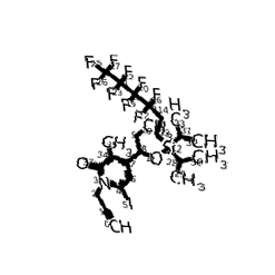 C#CCn1c(I)cc(C(CC)O[Si](CCC(F)(F)C(F)(F)C(F)(F)C(F)(F)F)(C(C)C)C(C)C)c(C)c1=O